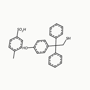 Cc1ccc(S(=O)(=O)O)cc1.Oc1ccc(C(CS)(c2ccccc2)c2ccccc2)cc1